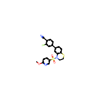 COc1ccc(S(=O)(=O)N2CCSc3ccc(-c4ccc(C#N)c(F)c4)cc32)cn1